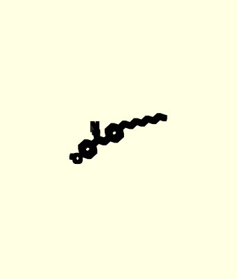 CCCCCCCCc1ccc(C=C(C#N)c2ccc(OC)cc2)cc1